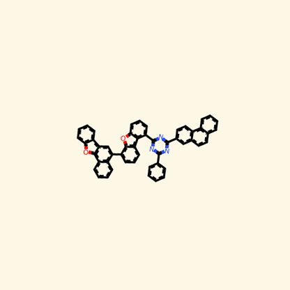 c1ccc(-c2nc(-c3ccc4c(ccc5ccccc54)c3)nc(-c3cccc4oc5c(-c6cc7c8ccccc8oc7c7ccccc67)cccc5c34)n2)cc1